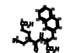 CC(C)CN(CCC(=O)O)C(=O)N[C@@H](Cc1ccc2ccccc2c1)C(=O)O